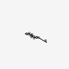 C=CC(=O)CCCCCCCOc1ccc(C(=O)O[C@H]2COC3C2OC[C@@H]3OC(=O)c2ccc(C)cc2)cc1